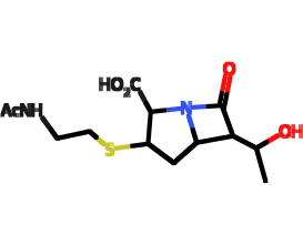 CC(=O)NCCSC1CC2C(C(C)O)C(=O)N2C1C(=O)O